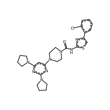 O=C(Nc1nc(-c2ccccc2Cl)cs1)N1CCN(c2cc(N3CCCC3)nc(N3CCCC3)n2)CC1